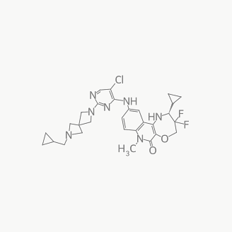 Cn1c(=O)c2c(c3cc(Nc4nc(N5CC6(CN(CC7CC7)C6)C5)ncc4Cl)ccc31)N[C@@H](C1CC1)C(F)(F)CO2